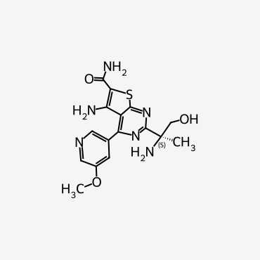 COc1cncc(-c2nc([C@](C)(N)CO)nc3sc(C(N)=O)c(N)c23)c1